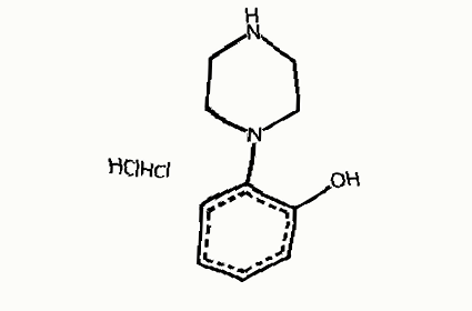 Cl.Cl.Oc1ccccc1N1CCNCC1